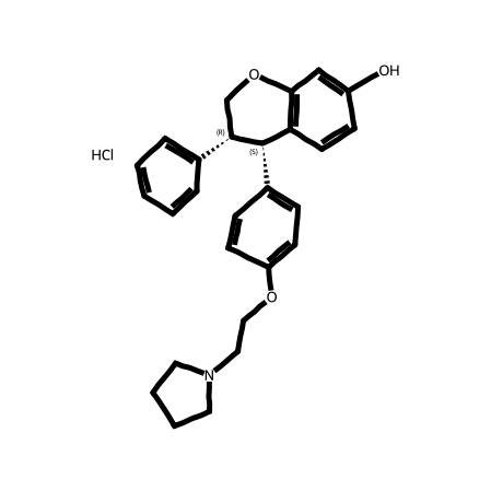 Cl.Oc1ccc2c(c1)OC[C@@H](c1ccccc1)[C@H]2c1ccc(OCCN2CCCC2)cc1